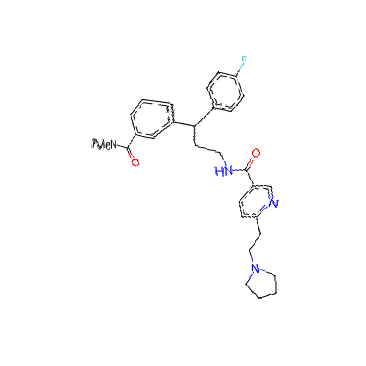 CNC(=O)c1cccc(C(CCNC(=O)c2ccc(CCN3CCCC3)nc2)c2ccc(F)cc2)c1